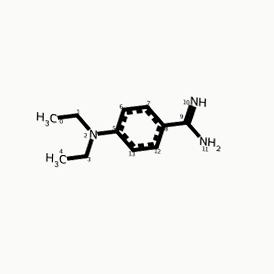 CCN(CC)c1ccc(C(=N)N)cc1